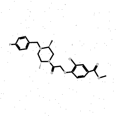 COC(=O)c1ccc(OCC(=O)N2C[C@H](C)N(Cc3ccc(F)cc3)C[C@H]2C)c(Cl)c1